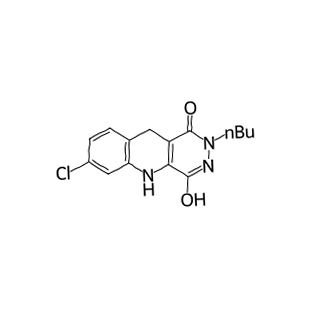 CCCCn1nc(O)c2c(c1=O)Cc1ccc(Cl)cc1N2